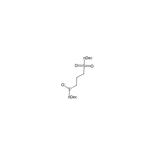 CCCCCCCCCC[S+]([O-])CCCS(=O)(=O)CCCCCCCCCC